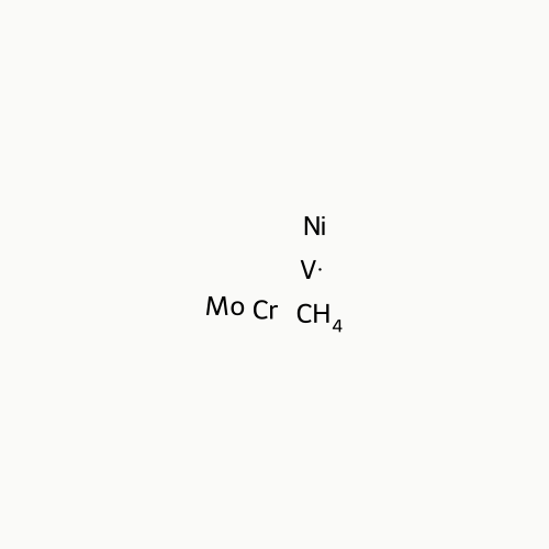 C.[Cr].[Mo].[Ni].[V]